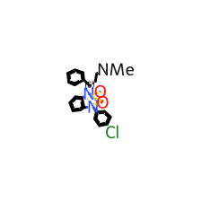 CNCC[C@@H](c1ccccc1)N1c2ccccc2N(c2ccc(Cl)cc2)S1(=O)=O